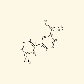 Cc1cccc(-c2cccc(C(N)=O)c2)n1